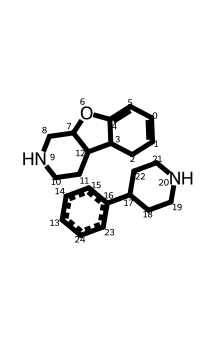 C1=CCC2C(=C1)OC1CNCCC12.c1ccc(C2CCNCC2)cc1